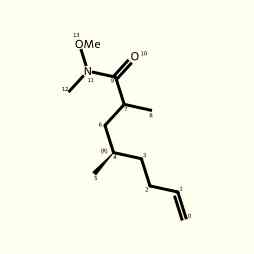 C=CCC[C@@H](C)CC(C)C(=O)N(C)OC